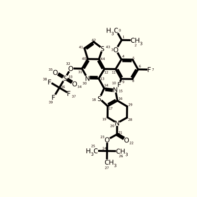 CC(C)Oc1cc(F)cc(F)c1-c1c(-c2nc3c(s2)CN(C(=O)OC(C)(C)C)CC3)nc(OS(=O)(=O)C(F)(F)F)c2ccsc12